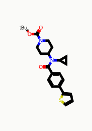 CC(C)(C)OC(=O)N1CCC(N(C(=O)c2ccc(-c3cccs3)cc2)C2CC2)CC1